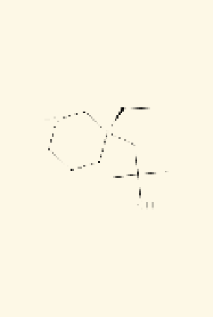 [CH2]C[C@@]1(CC(C)(C)O)CCCNC1